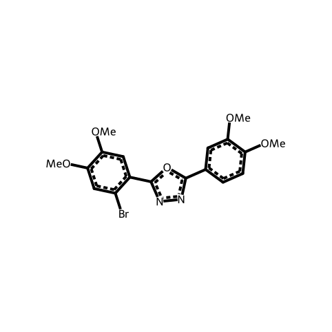 COc1ccc(-c2nnc(-c3cc(OC)c(OC)cc3Br)o2)cc1OC